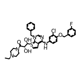 CCN1CCN(C(=O)[C@@H](O)[C@@H](O)S2=C3C(=C(Nc4ccc(OCc5cccc(F)c5)c(Cl)c4)N=CN3Cc3ccccc3)C=C2)CC1